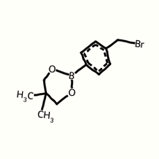 CC1(C)COB(c2ccc(CBr)cc2)OC1